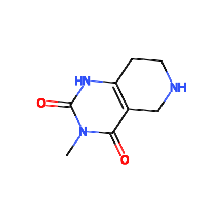 Cn1c(=O)[nH]c2c(c1=O)CNCC2